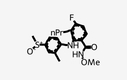 CCCc1c(F)ccc(C(=O)NOC)c1Nc1ccc([S+](C)[O-])cc1C